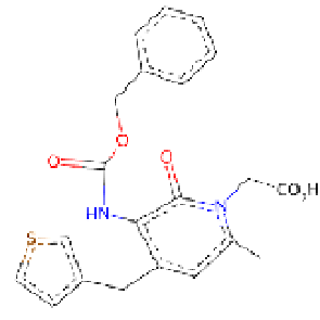 Cc1cc(Cc2ccsc2)c(NC(=O)OCc2ccccc2)c(=O)n1CC(=O)O